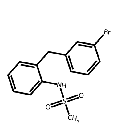 CS(=O)(=O)Nc1ccccc1Cc1cccc(Br)c1